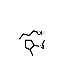 CCCCO.CNC1CCCC1C